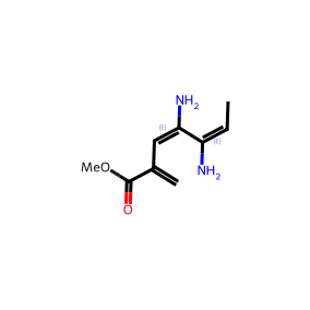 C=C(/C=C(N)\C(N)=C/C)C(=O)OC